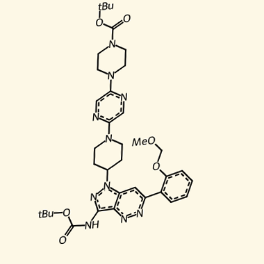 COCOc1ccccc1-c1cc2c(nn1)c(NC(=O)OC(C)(C)C)nn2C1CCN(c2cnc(N3CCN(C(=O)OC(C)(C)C)CC3)cn2)CC1